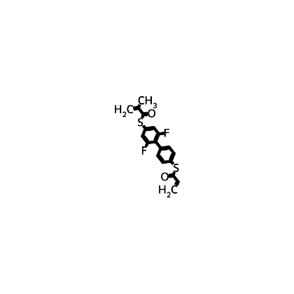 C=CC(=O)Sc1ccc(-c2c(F)cc(SC(=O)C(=C)C)cc2F)cc1